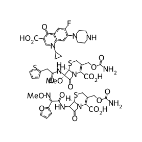 CO/N=C(/C(=O)N[C@@H]1C(=O)N2C(C(=O)O)=C(COC(N)=O)CS[C@H]12)c1ccco1.CO[C@@]1(NC(=O)Cc2cccs2)C(=O)N2C(C(=O)O)=C(COC(N)=O)CS[C@@H]21.O=C(O)c1cn(C2CC2)c2cc(N3CCNCC3)c(F)cc2c1=O